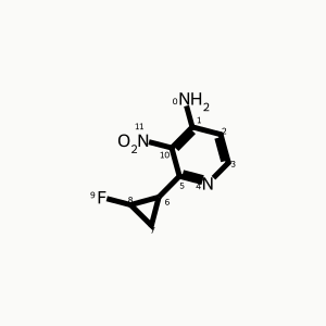 Nc1ccnc(C2CC2F)c1[N+](=O)[O-]